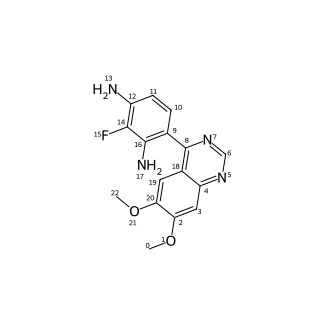 COc1cc2ncnc(-c3ccc(N)c(F)c3N)c2cc1OC